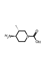 C[C@@H]1CN(C(=O)O)CC[C@H]1N